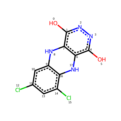 Oc1nnc(O)c2c1Nc1cc(Cl)cc(Cl)c1N2